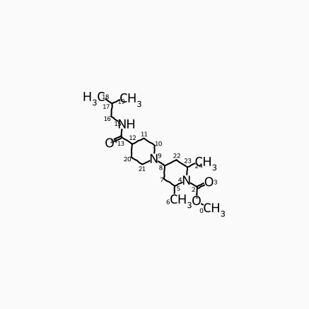 COC(=O)N1C(C)CC(N2CCC(C(=O)NCC(C)C)CC2)CC1C